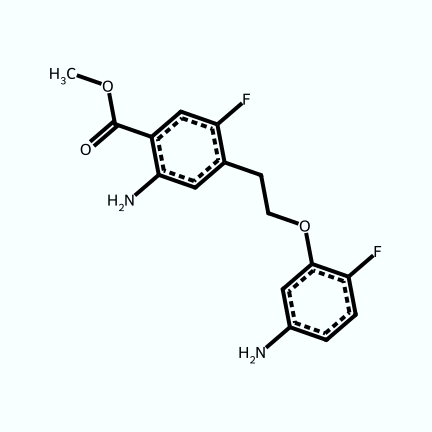 COC(=O)c1cc(F)c(CCOc2cc(N)ccc2F)cc1N